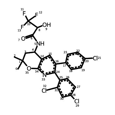 CC1(C)CC(NC(=O)C(O)C(F)(F)F)c2cc(-c3ccc(Cl)cc3)c(-c3ccc(Cl)cc3Cl)nc2O1